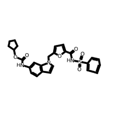 O=C(Nc1ccc2ccn(Cc3ccc(C(=O)NS(=O)(=O)c4ccccc4)o3)c2c1)OC1CCCC1